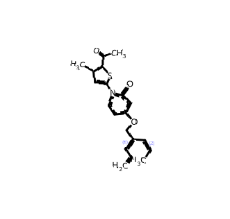 C=C/C=C(\C=C/C)COc1ccn(C2=CC(C)C(C(C)=O)S2)c(=O)c1